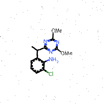 COc1nc(OC)nc(C(C)c2cccc(Cl)c2N)n1